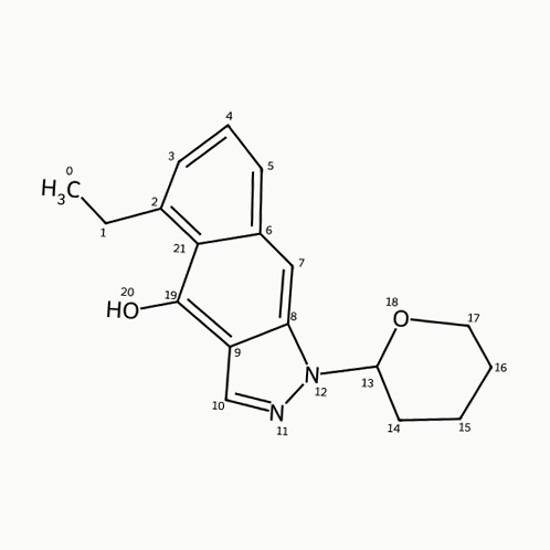 CCc1cccc2cc3c(cnn3C3CCCCO3)c(O)c12